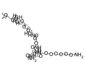 C=C1CC(CC[C@@]23C[C@H]4OC5C(O[C@H]6CC[C@H](CC(=O)C[C@@H]7C[C@@H](C[C@H](O)CNC(=O)OCc8ccc(NC(=O)[C@H](CCCNC(N)=O)NC(=O)[C@@H](NC(=O)CCOCCOCCOCCOCCOCCOCCN)C(C)C)cc8)O[C@H]7C)OC6[C@@H]5O2)[C@H]4O3)OC1CC